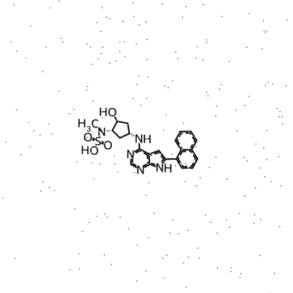 CN([C@H]1C[C@@H](Nc2ncnc3[nH]c(-c4cccc5ccccc45)cc23)C[C@@H]1O)S(=O)(=O)O